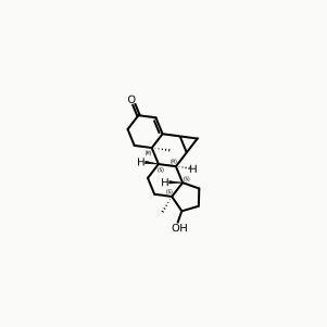 C[C@]12CCC(=O)C=C1C1CC1[C@@H]1[C@@H]2CC[C@]2(C)C(O)CC[C@@H]12